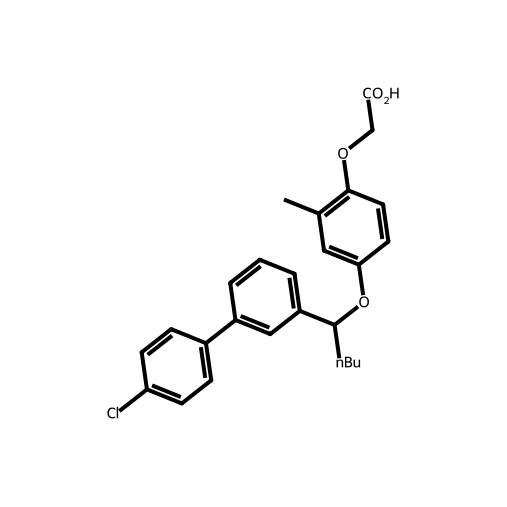 CCCCC(Oc1ccc(OCC(=O)O)c(C)c1)c1cccc(-c2ccc(Cl)cc2)c1